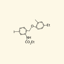 CCOC(=O)Nc1cc(I)ccc1COc1ccc(CC)cc1C